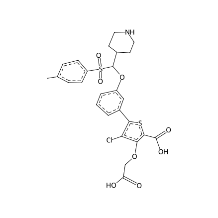 Cc1ccc(S(=O)(=O)C(Oc2cccc(-c3sc(C(=O)O)c(OCC(=O)O)c3Cl)c2)C2CCNCC2)cc1